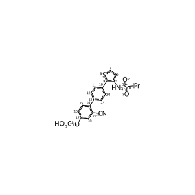 CC(C)S(=O)(=O)Nc1ccsc1-c1ccc(-c2ccc(OC(=O)O)cc2C#N)cc1